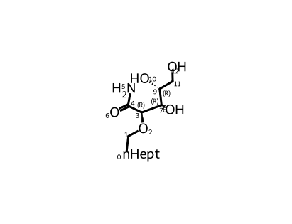 CCCCCCCCO[C@@H](C(N)=O)[C@H](O)[C@H](O)CO